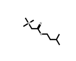 CC(C)CCOC(=O)C[N+](C)(C)C